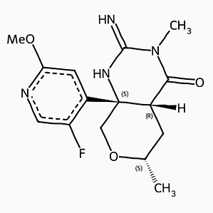 COc1cc([C@]23CO[C@@H](C)C[C@H]2C(=O)N(C)C(=N)N3)c(F)cn1